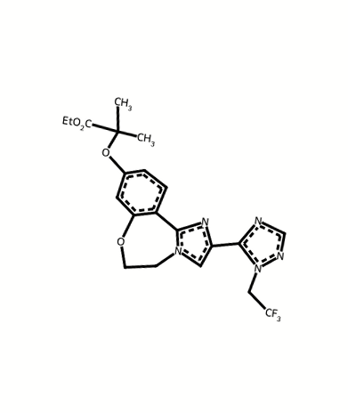 CCOC(=O)C(C)(C)Oc1ccc2c(c1)OCCn1cc(-c3ncnn3CC(F)(F)F)nc1-2